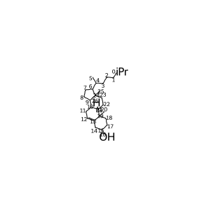 CC(C)CCCC(C)C1CCC2C3CC=C4CC(O)CCC4(C)[C@H]3CCC12C